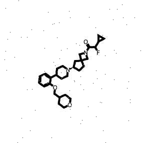 O=C(C(F)C1CC1)N1CC2(CC[C@@H](N3CCC(c4ccccc4OCC4CCOCC4)CC3)C2)C1